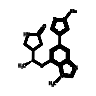 C[C@@H](Oc1cc(-c2cnn(C(C)(C)C)c2)cc2ncn(C)c12)C1CNC(=O)C1